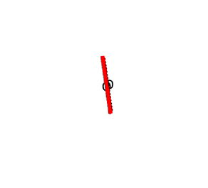 CCCCC=CC=CC=CCCCCCCCC(=O)OCCCCCCCCCCCCCCCC(C)C